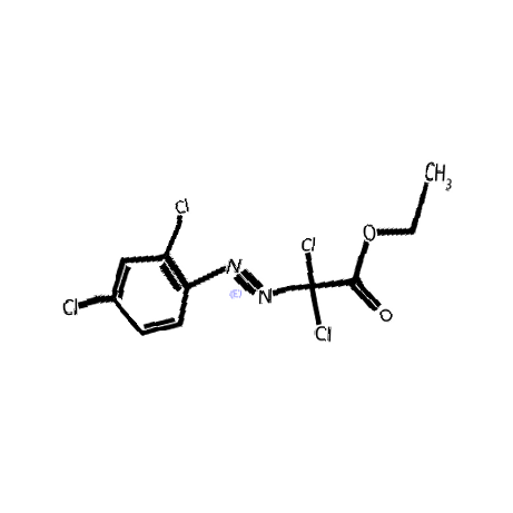 CCOC(=O)C(Cl)(Cl)/N=N/c1ccc(Cl)cc1Cl